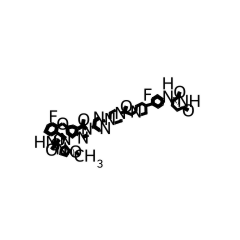 CO[C@@H]1CCN(S(=O)(=O)Nc2ccc(F)c(Oc3ccc4ncn(-c5cnc(N6CCN(C(=O)CN7CCC(c8ccc(N[C@@H]9CCC(=O)NC9=O)cc8F)CC7)CC6)nc5)c(=O)c4c3)c2C#N)C1